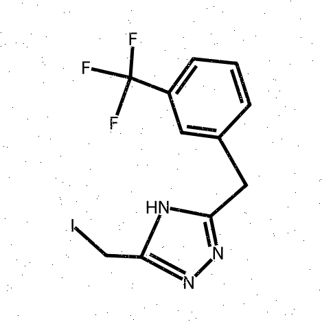 FC(F)(F)c1cccc(Cc2nnc(CI)[nH]2)c1